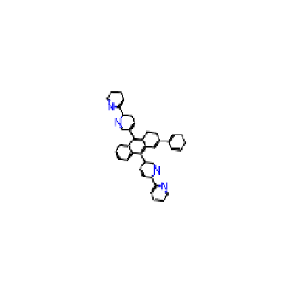 C1=CC(C2=Cc3c(c(C4=CCC(c5ccccn5)N=C4)c4ccccc4c3C3C=CC(c4ccccn4)=NC3)CC2)=CCC1